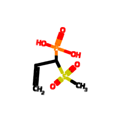 C=CC(P(=O)(O)O)S(C)(=O)=O